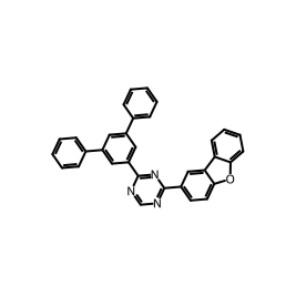 c1ccc(-c2cc(-c3ccccc3)cc(-c3ncnc(-c4ccc5oc6ccccc6c5c4)n3)c2)cc1